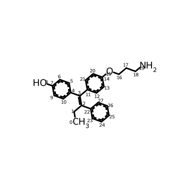 CC/C(=C(\c1ccc(O)cc1)c1ccc(OCCCN)cc1)c1ccccc1